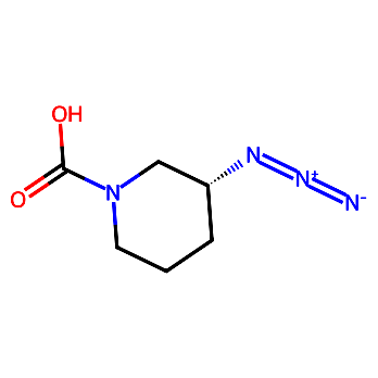 [N-]=[N+]=N[C@@H]1CCCN(C(=O)O)C1